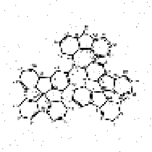 CC1CCC=C2C3=C(CCC=C3)C3(C4=C(C=CC(N(C5=CCC6C(C5)C5C=CC=CC5C6(C5=CCCC=C5)C5=CC=CCC5)C5CC=CC6Oc7ccccc7C65)C4)C4C=CC=CC43)C21